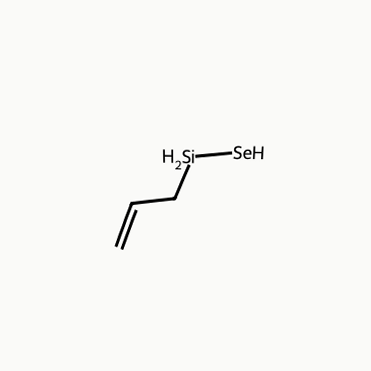 C=CC[SiH2][SeH]